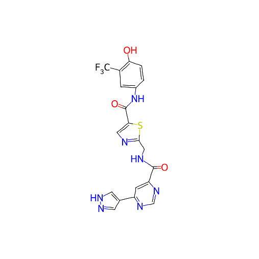 O=C(NCc1ncc(C(=O)Nc2ccc(O)c(C(F)(F)F)c2)s1)c1cc(-c2cn[nH]c2)ncn1